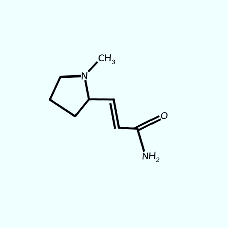 CN1CCCC1C=CC(N)=O